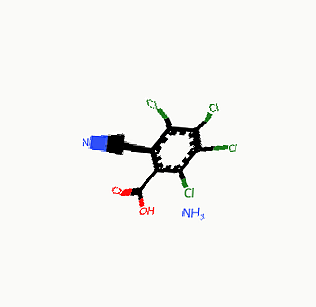 N.N#Cc1c(Cl)c(Cl)c(Cl)c(Cl)c1C(=O)O